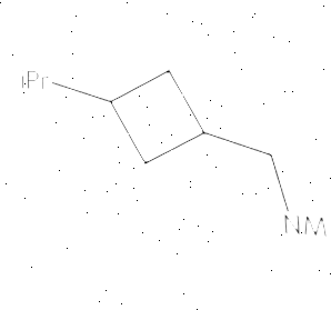 CNCC1CC(C(C)C)C1